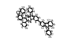 c1ccc(-c2nc3c4cc(-c5ccc6c(c5)c5ccccc5n6-c5ccccc5)ccc4n(-c4ccccc4)c3nc2-c2cccc3oc4ccccc4c23)cc1